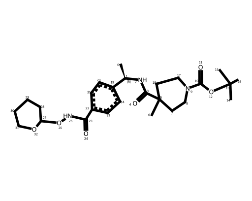 C[C@@H](NC(=O)C1(C)CCN(C(=O)OC(C)(C)C)CC1)c1ccc(C(=O)NOC2CCCCO2)cc1